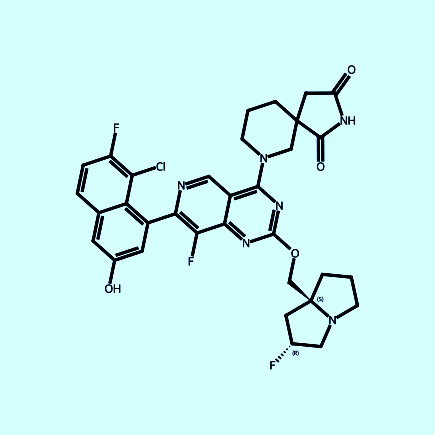 O=C1CC2(CCCN(c3nc(OC[C@@]45CCCN4C[C@H](F)C5)nc4c(F)c(-c5cc(O)cc6ccc(F)c(Cl)c56)ncc34)C2)C(=O)N1